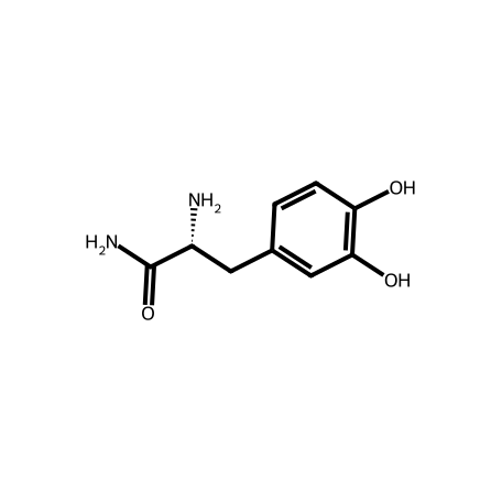 NC(=O)[C@H](N)Cc1ccc(O)c(O)c1